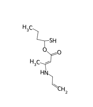 C=CCNC(C)=CC(=O)OC(S)CCC